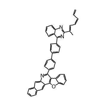 C=C/C=C\C=C(/C)c1nc(-c2ccc(-c3ccc(-c4nc5cc6ccccc6cc5c5oc6ccccc6c45)cc3)cc2)c2ccccc2n1